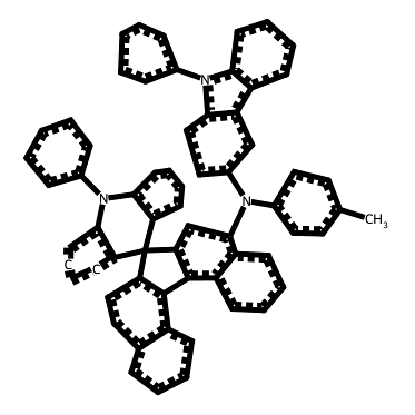 Cc1ccc(N(c2ccc3c(c2)c2ccccc2n3-c2ccccc2)c2cc3c(c4ccccc24)-c2c(ccc4ccccc24)C32c3ccccc3N(c3ccccc3)c3ccccc32)cc1